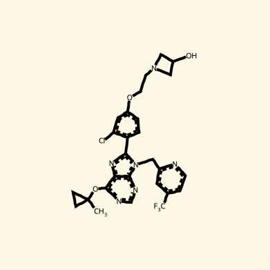 CC1(Oc2ncnc3c2nc(-c2ccc(OCCN4CC(O)C4)cc2Cl)n3Cc2cc(C(F)(F)F)ccn2)CC1